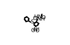 CC(=O)NNC(=O)c1ccc([N+](=O)[O-])cc1SCc1ccccc1